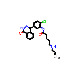 C=CCNCCCCC(=O)Nc1cc(-c2n[nH]c(=O)c3ccccc23)ccc1Cl